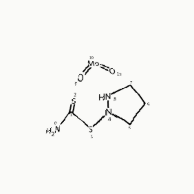 NC(=S)SN1CCCN1.[O]=[Mo]=[O]